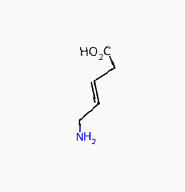 NCC=CCC(=O)O